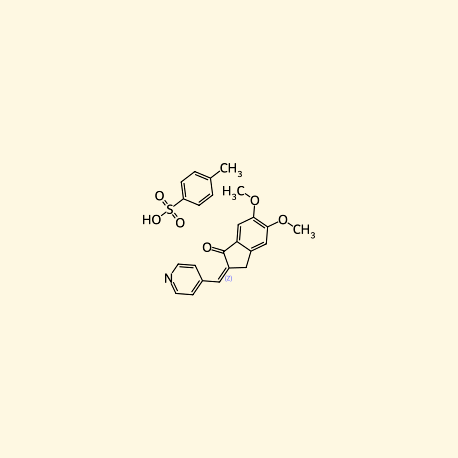 COc1cc2c(cc1OC)C(=O)/C(=C\c1ccncc1)C2.Cc1ccc(S(=O)(=O)O)cc1